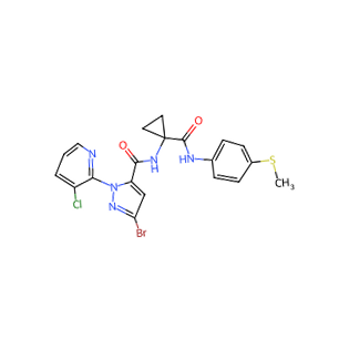 CSc1ccc(NC(=O)C2(NC(=O)c3cc(Br)nn3-c3ncccc3Cl)CC2)cc1